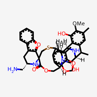 COc1c(C)cc2c(c1O)[C@H]1N[C@@H](C2C)[C@H](O)N2[C@H]1[C@@H]1SC[C@]3(N[C@H](CN)Cc4c3oc3ccccc43)C(=O)OC[C@H]2c2c3c(c(C)c(OC(C)=O)c21)OCO3